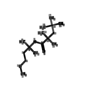 COCCC(C)(C)OC(=O)C(C)(C)CC(C)(C)C